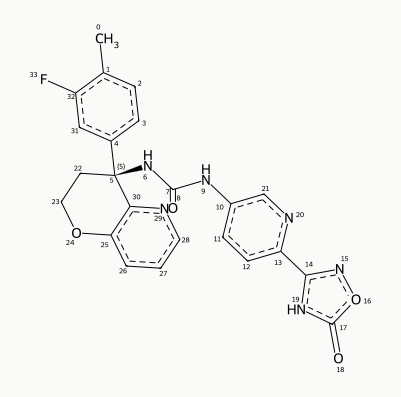 Cc1ccc([C@@]2(NC(=O)Nc3ccc(-c4noc(=O)[nH]4)nc3)CCOc3cccnc32)cc1F